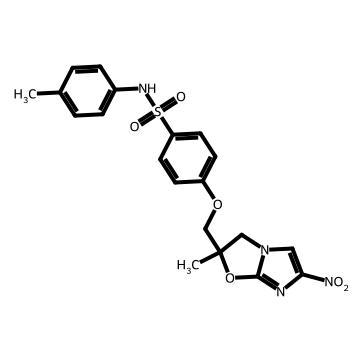 Cc1ccc(NS(=O)(=O)c2ccc(OCC3(C)Cn4cc([N+](=O)[O-])nc4O3)cc2)cc1